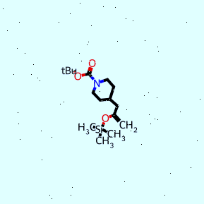 C=C(CC1CCN(C(=O)OC(C)(C)C)CC1)O[Si](C)(C)C